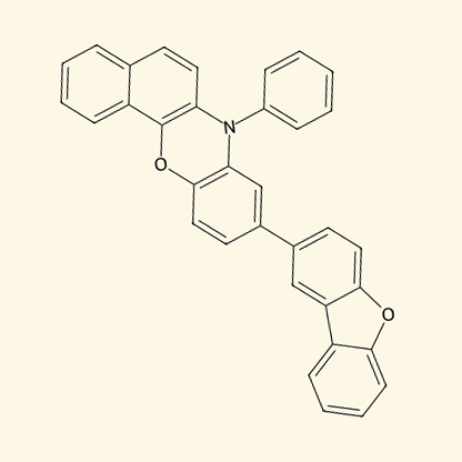 c1ccc(N2c3cc(-c4ccc5oc6ccccc6c5c4)ccc3Oc3c2ccc2ccccc32)cc1